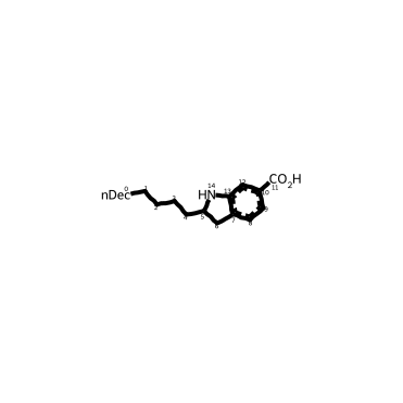 CCCCCCCCCCCCCCC1Cc2ccc(C(=O)O)cc2N1